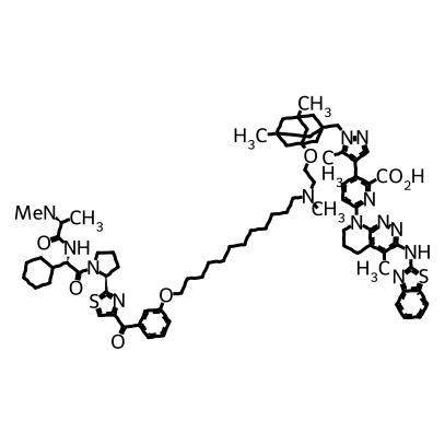 CN[C@@H](C)C(=O)N[C@H](C(=O)N1CCC[C@H]1c1nc(C(=O)c2cccc(OCCCCCCCCCCCCN(C)CCOC34CC5(C)CC(C)(CC(Cn6ncc(-c7ccc(N8CCCc9c8nnc(Nc8nc%10ccccc%10s8)c9C)nc7C(=O)O)c6C)(C5)C3)C4)c2)cs1)C1CCCCC1